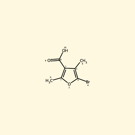 Cc1oc(Br)c(C)c1C(=O)O